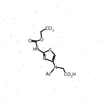 CC(=O)N(CC(=O)O)c1csc(NC(=O)OCC(Cl)(Cl)Cl)n1